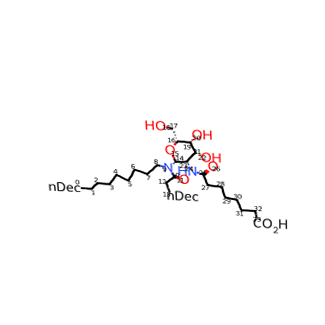 CCCCCCCCCCCCCCCCCCN(C(=O)CCCCCCCCCCC)[C@@H]1O[C@H](CO)[C@H](O)[C@H](O)[C@@H]1NC(=O)CCCCCCC(=O)O